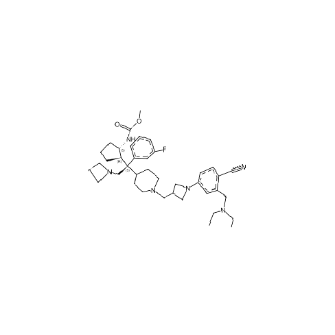 CCN(CC)Cc1cc(N2CC(CN3CCC([C@@](CN4CCC4)(c4cccc(F)c4)[C@H]4CCC[C@@H]4NC(=O)OC)CC3)C2)ccc1C#N